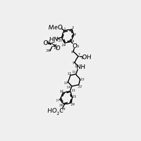 COc1ccc(OC[C@@H](O)CNC2CCC(c3ccc(C(=O)O)cc3)CC2)cc1NS(C)(=O)=O